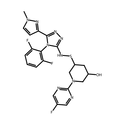 Cn1ccc(-c2nnc(NSC3CC(O)CN(c4ncc(F)cn4)C3)n2-c2c(F)cccc2F)n1